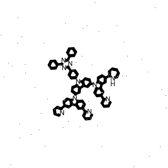 C1=CC=C(c2ccc3c(c2)c2cc(-c4ccccn4)ccc2n3-c2ccc3c(c2)c2cc(-n4c5ccc(-c6ccccn6)cc5c5cc(-c6ccccn6)ccc54)ccc2n3-c2ccc(-c3nc(-c4ccccc4)nc(-c4ccccc4)n3)cc2)NC=C1